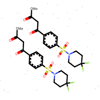 COC(=O)CC(=O)c1ccc(S(=O)(=O)N2CCC(F)(F)CC2)cc1.COC(=O)CC(=O)c1ccc(S(=O)(=O)N2CCC(F)(F)CC2)cc1